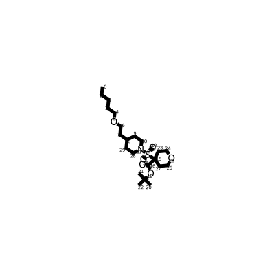 CCCCCOCCC1CCN(S(=O)(=O)C2(C(=O)OC(C)(C)C)CCOCC2)CC1